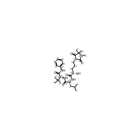 CC(C)C[C@H](NC(=O)[C@@H](S)CCCN1C(=O)N(C)C(C)(C)C1=O)C(=O)N[C@H](C(=O)Nc1cccnc1)C(C)(C)C